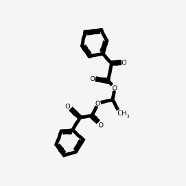 C[C](OC(=O)C(=O)c1ccccc1)OC(=O)C(=O)c1ccccc1